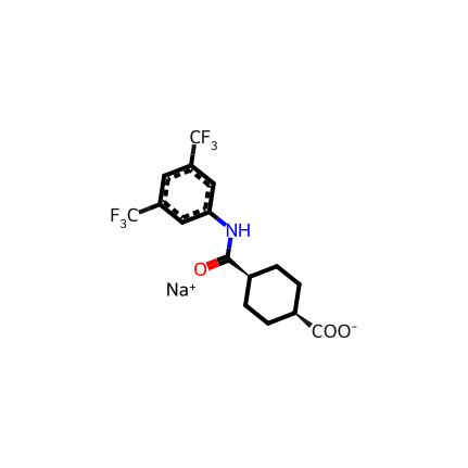 O=C([O-])[C@H]1CC[C@@H](C(=O)Nc2cc(C(F)(F)F)cc(C(F)(F)F)c2)CC1.[Na+]